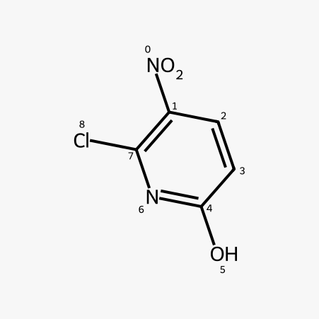 O=[N+]([O-])c1ccc(O)nc1Cl